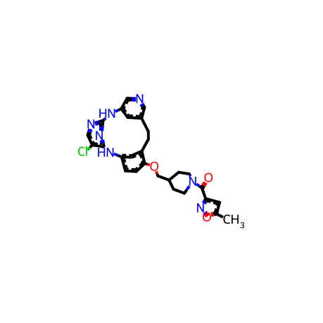 Cc1cc(C(=O)N2CCC(COc3ccc4cc3CCc3cncc(c3)Nc3ncc(Cl)c(n3)N4)CC2)no1